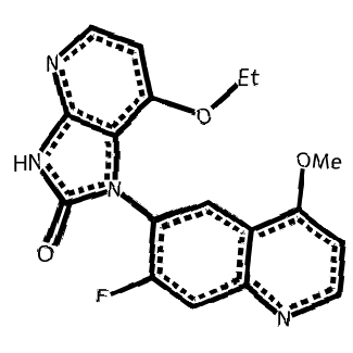 CCOc1ccnc2[nH]c(=O)n(-c3cc4c(OC)ccnc4cc3F)c12